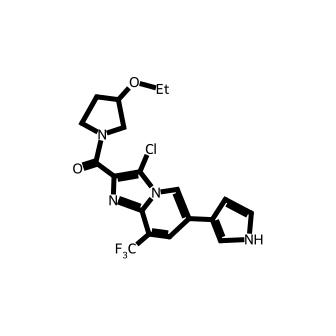 CCOC1CCN(C(=O)c2nc3c(C(F)(F)F)cc(-c4cc[nH]c4)cn3c2Cl)C1